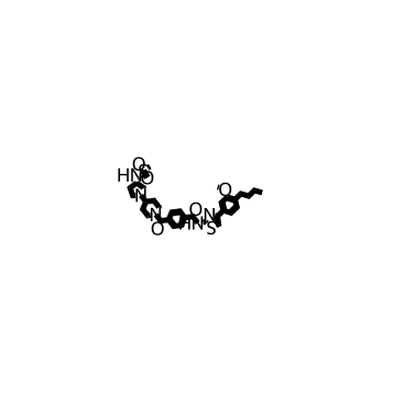 CCCCc1ccc(-c2csc(NC(=O)c3ccc(C(=O)N4CCC(N5CCC(NS(C)(=O)=O)C5)CC4)cc3)n2)cc1OC